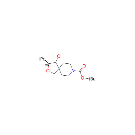 CC(C)[C@@H]1OCC2(CCN(C(=O)OC(C)(C)C)CC2)C1O